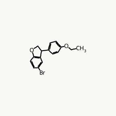 CCOc1ccc(C2COc3ccc(Br)cc32)cc1